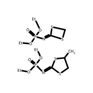 CCOP(=O)(N=C1SCC(C)S1)OCC.CCOP(=O)(N=C1SCS1)OCC